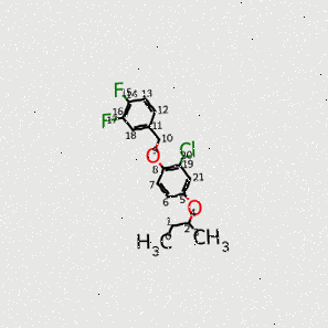 CCC(C)Oc1ccc(OCc2ccc(F)c(F)c2)c(Cl)c1